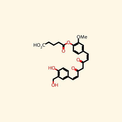 COc1cc(/C=C\C(=O)CC(=O)/C=C\c2ccc(O)c(CO)c2)ccc1OC(=O)CCCC(=O)O